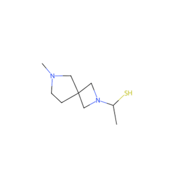 CC(S)N1CC2(CCN(C)C2)C1